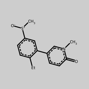 CCc1ccc([S+](C)[O-])cc1-c1ccc(=O)n(C)c1